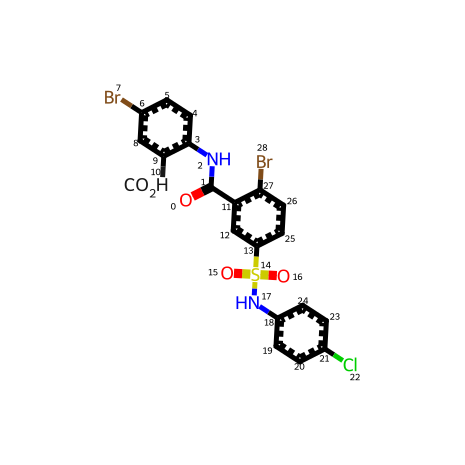 O=C(Nc1ccc(Br)cc1C(=O)O)c1cc(S(=O)(=O)Nc2ccc(Cl)cc2)ccc1Br